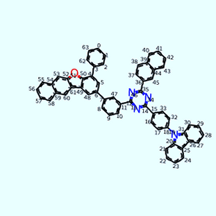 c1ccc(-c2cc(-c3cccc(-c4nc(-c5ccc(-n6c7ccccc7c7ccccc76)cc5)nc(-c5ccc6ccccc6c5)n4)c3)cc3c2oc2cc4ccccc4cc23)cc1